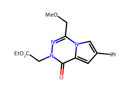 CCOC(=O)Cn1nc(COC)n2cc(C(C)C)cc2c1=O